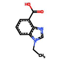 CCn1cnc2c(C(=O)O)cccc21